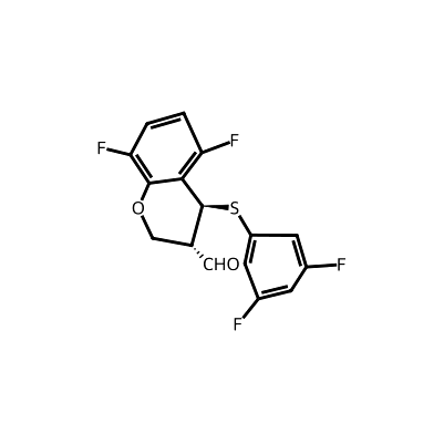 O=C[C@@H]1COc2c(F)ccc(F)c2[C@H]1Sc1cc(F)cc(F)c1